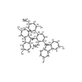 Cc1ccc2c(c1)c1cc(C)ccc1n2-c1ccc(-c2ccc(C#N)cc2C)c(-n2c3ccc(C)cc3c3cc(C)ccc32)c1C#N